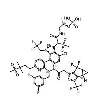 C[C@@H](CNC(=O)N(c1nn(CC(F)(F)F)c2c(-c3ccc(CCC(C)(C)S(C)(=O)=O)nc3[C@H](Cc3cc(F)cc(F)c3)NC(=O)Cn3nc(C(F)(F)F)c4c3C(F)(F)C3C[C@H]43)ccc(Cl)c12)S(C)(=O)=O)OP(=O)(O)O